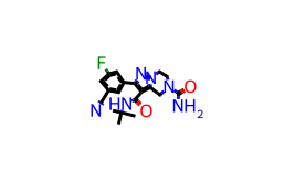 CC(C)(C)NC(=O)c1c(-c2cc(F)cc(C#N)c2)nn2c1CN(C(N)=O)CC2